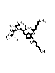 CCCCCC(=O)Oc1ccc(C[C@H](N)C(=O)O[C@@H](C)C(C)OC(=O)OC(C)(C)C)cc1OC(=O)CCCCC